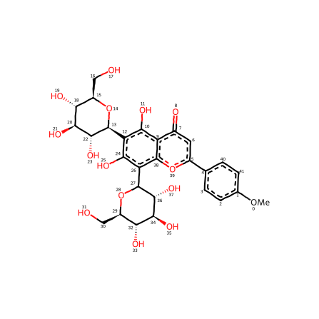 COc1ccc(-c2cc(=O)c3c(O)c([C@@H]4O[C@H](CO)[C@@H](O)[C@H](O)[C@H]4O)c(O)c(C4O[C@H](CO)[C@@H](O)[C@H](O)[C@H]4O)c3o2)cc1